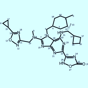 CC1CCC(Cn2c(N(C)Cc3noc(C4CC4)n3)nc3nc(-c4nc(=O)o[nH]4)nc(N[C@H](C)C4CCC4)c32)CC1